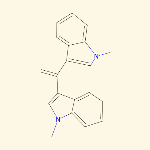 C=C(c1cn(C)c2ccccc12)c1cn(C)c2ccccc12